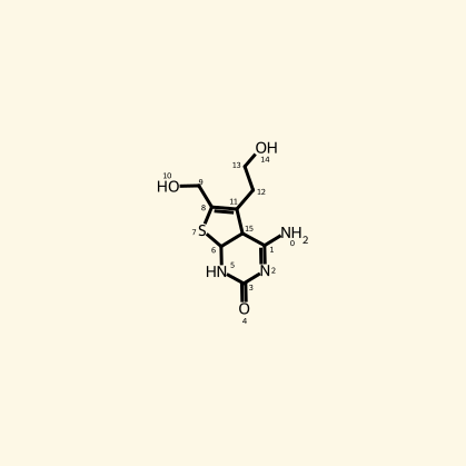 NC1=NC(=O)NC2SC(CO)=C(CCO)C12